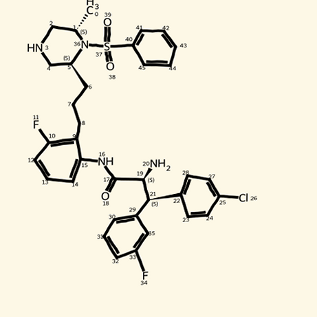 C[C@H]1CNC[C@H](CCCc2c(F)cccc2NC(=O)[C@@H](N)[C@@H](c2ccc(Cl)cc2)c2cccc(F)c2)N1S(=O)(=O)c1ccccc1